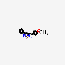 COc1ccc(CC[C](C=S)CC(N)c2ccccc2)cc1